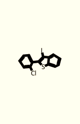 Clc1ccccc1-c1sc2ccccc2c1I